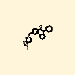 O=C(c1ccc(CN2C=Cc3[nH]cnc3C2)cc1)C(C1CCCCC1)C1CCCC1